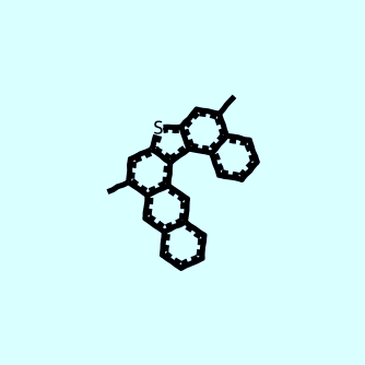 Cc1cc2sc3cc(C)c4cc5ccccc5cc4c3c2c2ccccc12